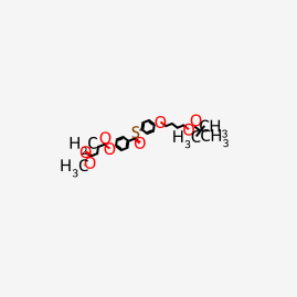 C=C(CC(=O)OC)C(=O)Oc1ccc(C(=O)Sc2ccc(OCCCCOC(=O)C(C)(C)C)cc2)cc1